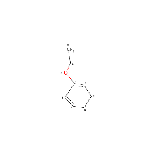 FC(F)(F)COC1=CCCC=C1